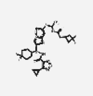 O=C(CC1CC(F)(F)C1)NC(Sc1cnn2cc([C@@H](NC(=O)c3nonc3C3CC3)C3CCC(F)(F)CC3)nc2c1)C(F)(F)F